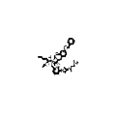 CCCCC(CN(Cc1ccc(F)c(N2CC(N(C)CCN(C)C)C2)n1)C(=O)[C@@H](N)Cc1ccc(OCc2ccccc2)cc1F)OCC